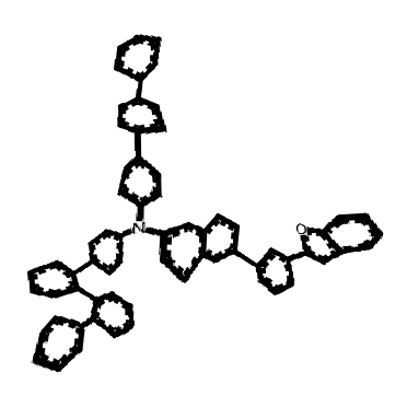 c1ccc(-c2ccc(-c3ccc(N(c4ccc(-c5ccccc5-c5ccccc5-c5ccccc5)cc4)c4ccc5cc(-c6cccc(-c7cc8ccccc8o7)c6)ccc5c4)cc3)cc2)cc1